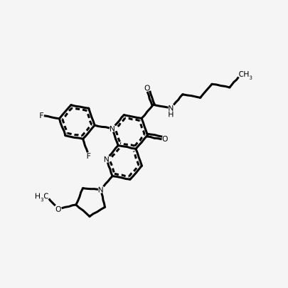 CCCCCNC(=O)c1cn(-c2ccc(F)cc2F)c2nc(N3CCC(OC)C3)ccc2c1=O